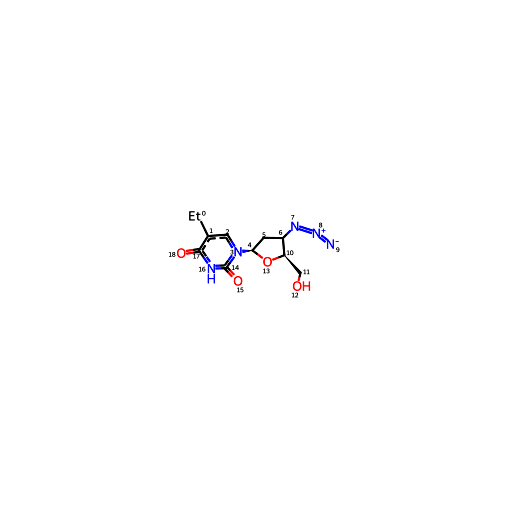 CCc1cn([C@H]2CC(N=[N+]=[N-])[C@@H](CO)O2)c(=O)[nH]c1=O